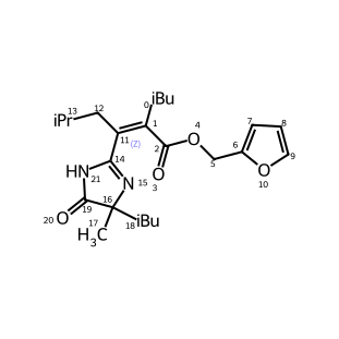 CCC(C)/C(C(=O)OCc1ccco1)=C(\CC(C)C)C1=NC(C)(C(C)CC)C(=O)N1